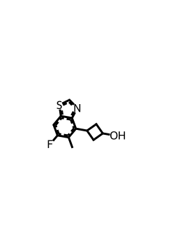 Cc1c(F)cc2scnc2c1C1CC(O)C1